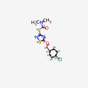 CN(C)C(=O)Sc1nsc(OCc2ccc(Cl)cc2)n1